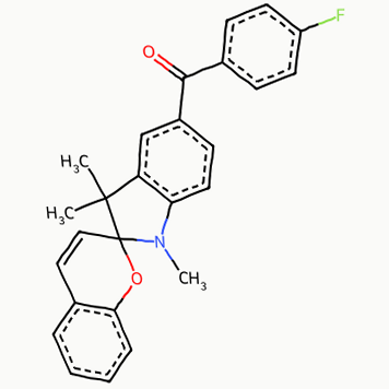 CN1c2ccc(C(=O)c3ccc(F)cc3)cc2C(C)(C)C12C=Cc1ccccc1O2